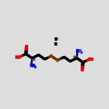 N[C@@H](CCSSCC[C@H](N)C(=O)O)C(=O)O.[K].[K]